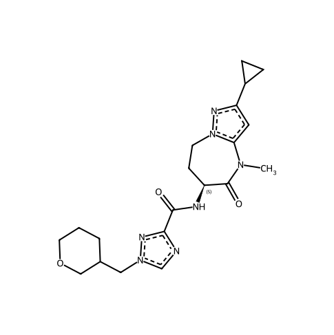 CN1C(=O)[C@@H](NC(=O)c2ncn(CC3CCCOC3)n2)CCn2nc(C3CC3)cc21